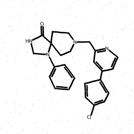 O=C1NCN(c2ccccc2)C12CCN(Cc1cc(-c3ccc(Cl)cc3)ccn1)CC2